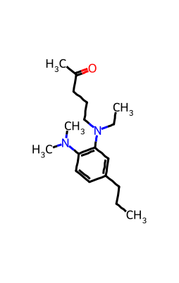 CCCc1ccc(N(C)C)c(N(CC)CCCC(C)=O)c1